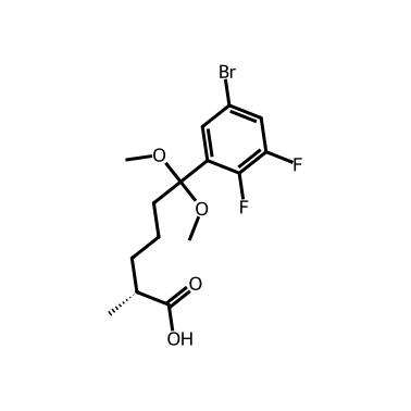 COC(CCC[C@@H](C)C(=O)O)(OC)c1cc(Br)cc(F)c1F